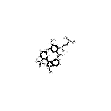 COc1cc(N(C)CCN(C)C)c([N+](=O)[O-])cc1Nc1ncc(P(C)(C)=O)c(-c2cn(C)c3ccccc23)n1